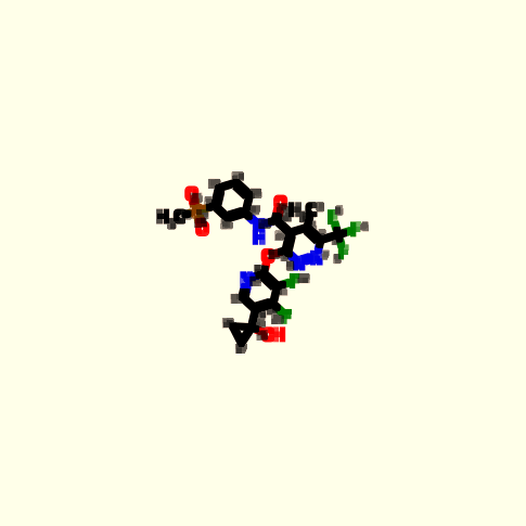 Cc1c(C(F)(F)F)nnc(Oc2ncc(C3(O)CC3)c(F)c2F)c1C(=O)Nc1cccc(S(C)(=O)=O)c1